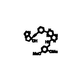 COc1ccc(CNc2ncnc3cnc(-c4cccc(C#CC5(O)CCn6ccnc65)c4)nc23)c(OC)c1